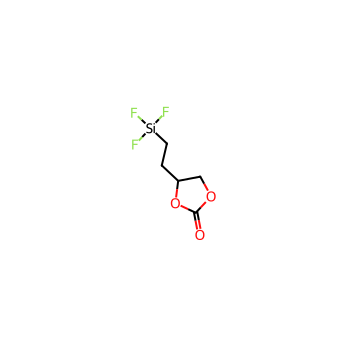 O=C1OCC(CC[Si](F)(F)F)O1